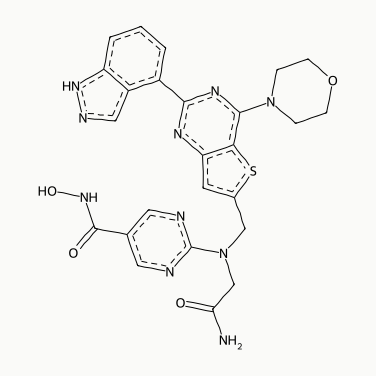 NC(=O)CN(Cc1cc2nc(-c3cccc4[nH]ncc34)nc(N3CCOCC3)c2s1)c1ncc(C(=O)NO)cn1